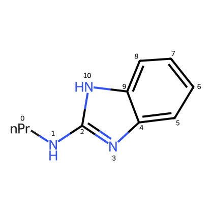 CCCNc1nc2ccccc2[nH]1